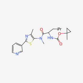 Cc1nc(-c2cccnc2)sc1N(C)C(=O)C(CC(C)C)NC(=O)OC1(C)CC1